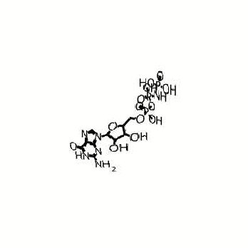 Nc1nc2c(ncn2C2OC(COP(=O)(O)OP(=O)(O)NP(=O)(O)O)C(O)C2O)c(=O)[nH]1